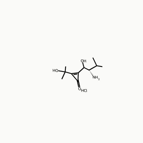 CC(C)[C@H](N)C(O)c1c(C(C)(C)O)c1=O.Cl